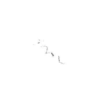 O=C(O)C=C/C=C/C=C/NS(=O)(=O)F